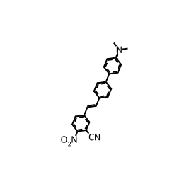 CN(C)c1ccc(-c2ccc(C=Cc3ccc([N+](=O)[O-])c(C#N)c3)cc2)cc1